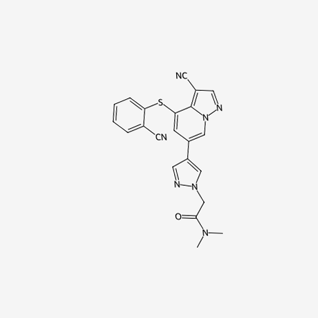 CN(C)C(=O)Cn1cc(-c2cc(Sc3ccccc3C#N)c3c(C#N)cnn3c2)cn1